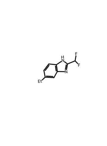 CCc1ccc2[nH]c(C(F)F)nc2c1